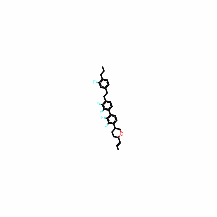 C/C=C/C1CCC(c2ccc(-c3ccc(CCc4ccc(CCC)c(F)c4)c(F)c3F)c(F)c2F)CO1